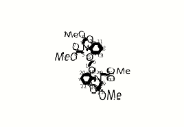 COC(=O)CN(CC(=O)OC)c1ccccc1OCCOc1ccccc1N(CC(=O)OC)CC(=O)OC